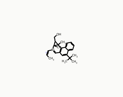 C/C=C\[N+]1=Cc2cc(C(C)(C)C)c3ccccc3c2C2(C)C(CO)C12C